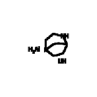 C1CN2CCC(CC2)N1.[AlH3].[LiH]